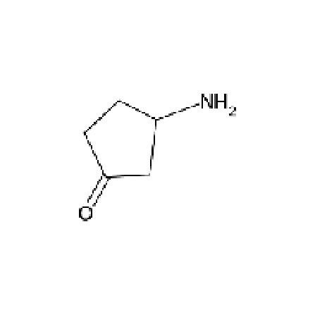 NC1CCC(=O)C1